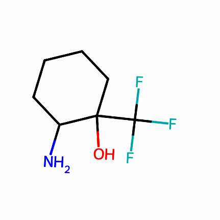 NC1CCCCC1(O)C(F)(F)F